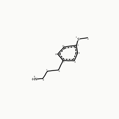 CSc1ccc(CCC[NH])cc1